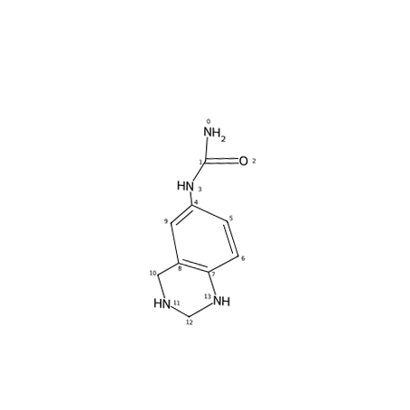 NC(=O)Nc1ccc2c(c1)CNCN2